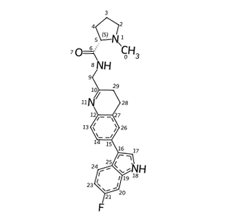 CN1CCC[C@H]1C(=O)NCC1=Nc2ccc(-c3c[nH]c4cc(F)ccc34)cc2CC1